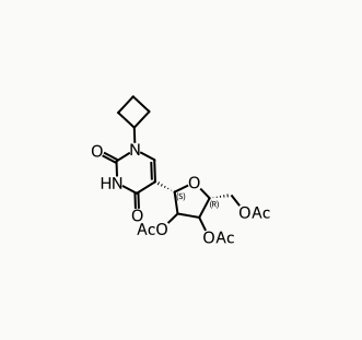 CC(=O)OC[C@H]1O[C@@H](c2cn(C3CCC3)c(=O)[nH]c2=O)C(OC(C)=O)C1OC(C)=O